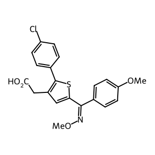 CON=C(c1ccc(OC)cc1)c1cc(CC(=O)O)c(-c2ccc(Cl)cc2)s1